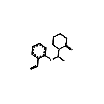 C=Cc1ccccc1OC(C)N1CCCCC1=O